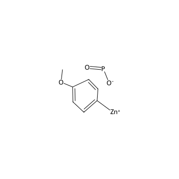 COc1cc[c]([Zn+])cc1.O=P[O-]